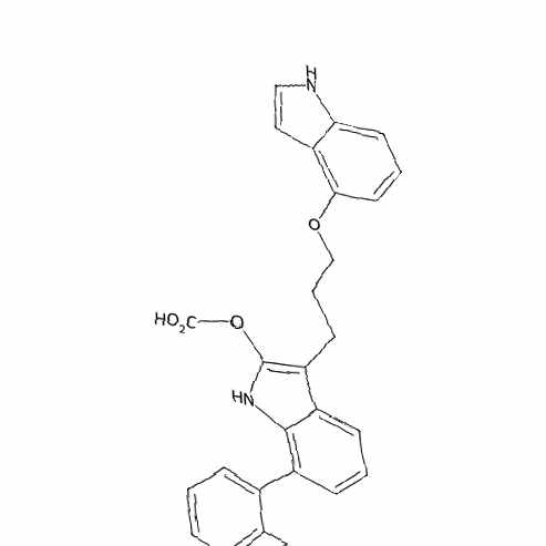 Cc1ccccc1-c1cccc2c(CCCOc3cccc4[nH]ccc34)c(OC(=O)O)[nH]c12